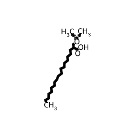 CCCCCCCCCCCCCCCCCCC(CON(CC)CC)C(=O)O